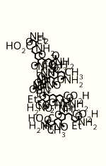 CCC(CC(CC(CC(CC(CC(C)C(N)=O)C(N)=O)C(=O)NCNC(=O)C(CC(CC(CC)C(=O)O)C(N)=O)CC(CC(CC(C)C(N)=O)C(=O)O)C(=O)NCNC(=O)C(CC(CC(CC(C)C(N)=O)C(=O)O)C(N)=O)CC(CC(CC)C(N)=O)C(=O)O)C(=O)NCNC(=O)C(CC(CC(CC(CC)C(N)=O)C(=O)O)C(N)=O)CC(CC(C)C(N)=O)C(=O)O)C(N)=O)C(N)=O